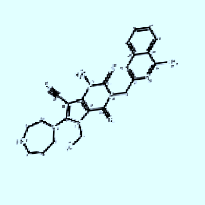 CCn1c(N2CCCNCC2)c(C#N)c2c1c(=O)n(Cc1nc(C)c3ccccc3n1)c(=O)n2C